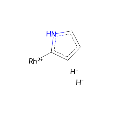 [H-].[H-].[Rh+2][c]1ccc[nH]1